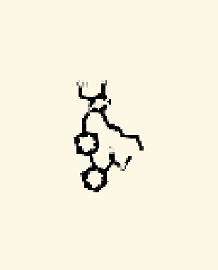 CCC/C=C/c1nc(Cl)c(CO)n1Cc1ccc(-c2ccccc2C(=O)OC)cc1